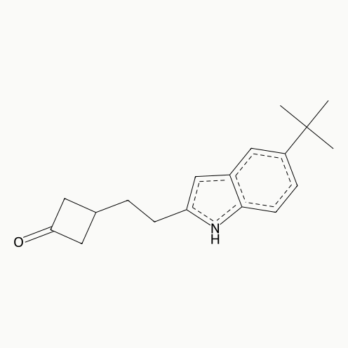 CC(C)(C)c1ccc2[nH]c(CCC3CC(=O)C3)cc2c1